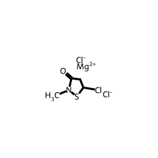 CN1SC(Cl)CC1=O.[Cl-].[Cl-].[Mg+2]